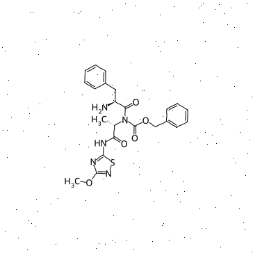 COc1nsc(NC(=O)[C@H](C)N(C(=O)OCc2ccccc2)C(=O)[C@@H](N)Cc2ccccc2)n1